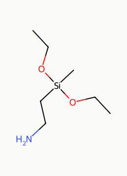 CCO[Si](C)(CCN)OCC